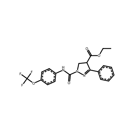 CCOC(=O)C1CN(C(=O)Nc2ccc(OC(F)(F)F)cc2)N=C1c1ccccc1